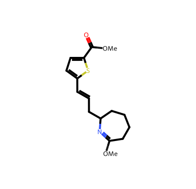 COC(=O)c1ccc(C=CCC2CCCCC(OC)=N2)s1